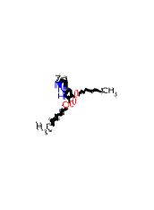 CCCCCCCCOC(=O)c1ccccc1C(=O)OCCCCCCCC.[Zn].c1cn[nH]c1